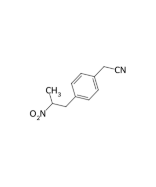 CC(Cc1ccc(CC#N)cc1)[N+](=O)[O-]